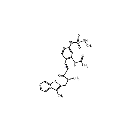 CNS(=O)(=O)Nc1cc(NC(C)=O)c(/C=C/C(=O)N(C)Cc2oc3ccccc3c2C)cn1